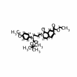 CCOC(=O)c1ccc2ccn(CCCN(C(=O)OC(C)(C)C)c3ccc(OC)cc3)c(=O)c2c1